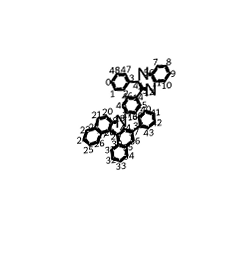 c1ccc(-c2nc3ccccc3nc2-c2ccc(-n3c4ccc5ccccc5c4c4c5ccccc5cc(-c5ccccc5)c43)cc2)cc1